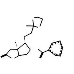 CCCCCC1(CC[C@H]2[C@H](OC(=O)c3ccccc3)CC3OC(=O)C[C@@H]32)OCCO1